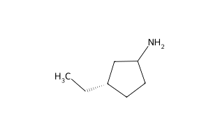 CC[C@H]1CCC(N)C1